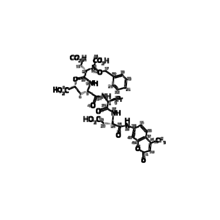 CC(C)[C@H](NC(=O)[C@H](CCC(=O)O)NC(=O)[C@H](CC(=O)O)N(OCc1ccccc1)C(=O)O)C(=O)N[C@@H](CC(=O)O)C(=O)Nc1ccc2c(C(F)(F)F)cc(=O)oc2c1